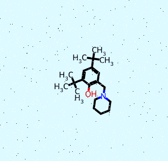 CC(C)(C)c1cc(CN2CCCCC2)c(O)c(C(C)(C)C)c1